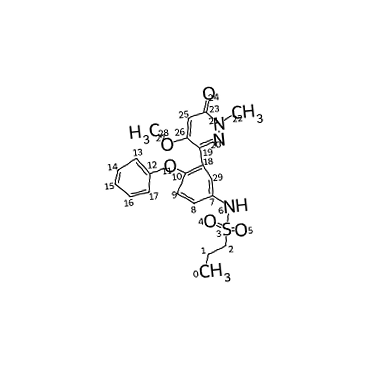 CCCS(=O)(=O)Nc1ccc(Oc2ccccc2)c(-c2nn(C)c(=O)cc2OC)c1